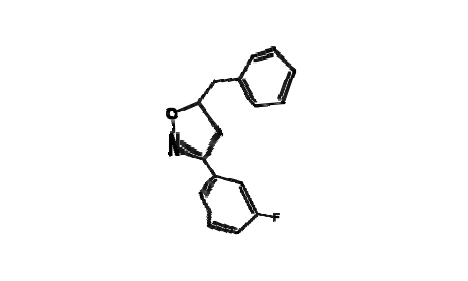 Fc1cccc(C2=NOC(Cc3ccccc3)C2)c1